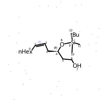 CCCCCC/C=C\C[C@H](CCO)O[Si](C)(C)C(C)(C)C